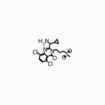 CS(=O)(=O)CCCn1c(C(N)C2CC2)nc2c(Cl)ccc(Cl)c2c1=O